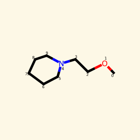 COCCN1CC[C]CC1